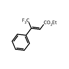 CCOC(=O)/C=C(/c1ccccc1)C(F)(F)F